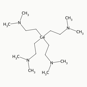 CN(C)C[CH2][Ge]([CH2]CN(C)C)([CH2]CN(C)C)[CH2]CN(C)C